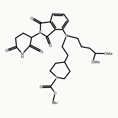 COC(CCCN(CCC1CCN(C(=O)OC(C)(C)C)CC1)c1cccc2c1C(=O)N(C1CCC(=O)NC1=O)C2=O)OC